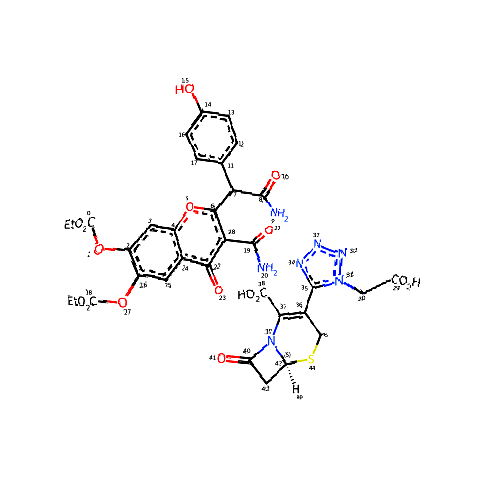 CCOC(=O)Oc1cc2oc(C(C(N)=O)c3ccc(O)cc3)c(C(N)=O)c(=O)c2cc1OC(=O)OCC.O=C(O)Cn1nnnc1C1=C(C(=O)O)N2C(=O)C[C@@H]2SC1